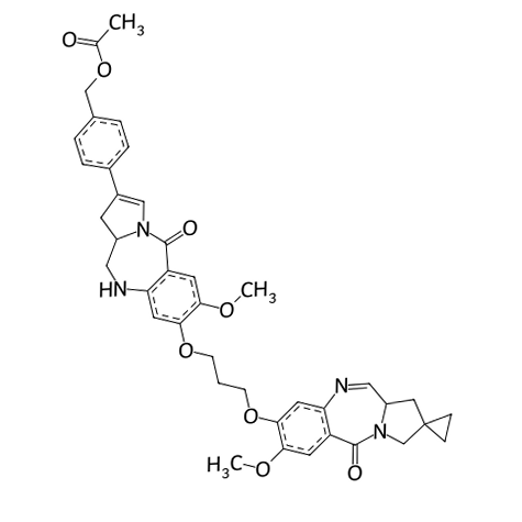 COc1cc2c(cc1OCCCOc1cc3c(cc1OC)C(=O)N1C=C(c4ccc(COC(C)=O)cc4)CC1CN3)N=CC1CC3(CC3)CN1C2=O